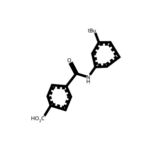 CC(C)(C)c1cccc(NC(=O)c2ccc(C(=O)O)cc2)c1